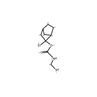 CCC1(OC(=O)NCS)CC2CCC1C2